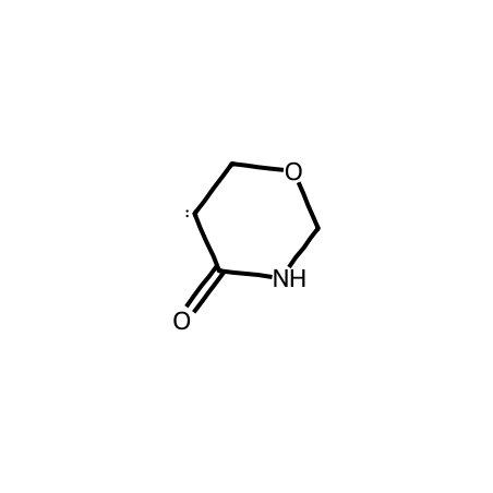 O=C1[C]COCN1